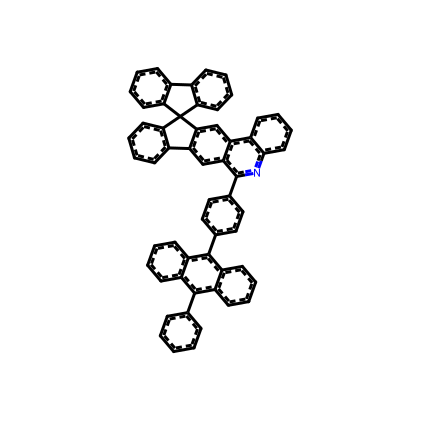 c1ccc(-c2c3ccccc3c(-c3ccc(-c4nc5ccccc5c5cc6c(cc45)-c4ccccc4C64c5ccccc5-c5ccccc54)cc3)c3ccccc23)cc1